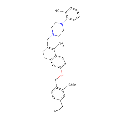 COc1cc(CC(C)C)ccc1COc1ccc2c(c1)CCC(CN1CCN(c3ccccc3C#N)CC1)=C2C